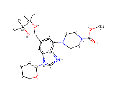 CC(C)(C)OC(=O)N1CCN(c2cc(B3OC(C)(C)C(C)(C)O3)cc3c2ncn3C2CCCCO2)CC1